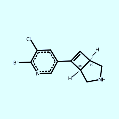 Clc1cc(C2=C[C@H]3CNC[C@@H]23)cnc1Br